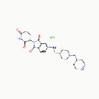 Cl.O=C1CCC(N2C(=O)c3ccc(NCC4CCN(CC5CCNCC5)CC4)cc3C2=O)C(=O)N1